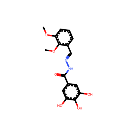 COc1cccc(C=NNC(=O)c2cc(O)c(O)c(O)c2)c1OC